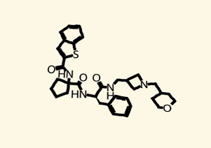 O=C(NC1(C(=O)N[C@H](Cc2ccccc2)C(=O)NCC2CN(CC3CCOCC3)C2)CCCC1)c1cc2ccccc2s1